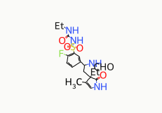 CCNC(=O)NS(=O)(=O)c1cc(C(CC2(CC)C(=O)NC=C2C)NC=O)ccc1F